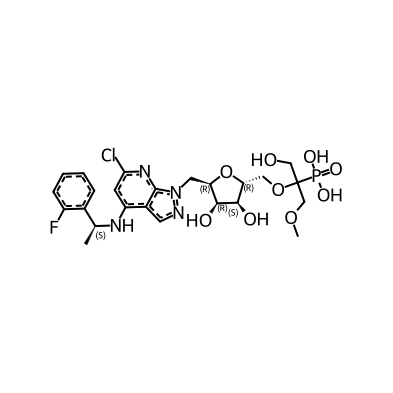 COCC(CO)(OC[C@H]1O[C@H](Cn2ncc3c(N[C@@H](C)c4ccccc4F)cc(Cl)nc32)[C@H](O)[C@@H]1O)P(=O)(O)O